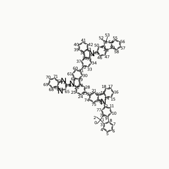 CC1(C)c2ccccc2-c2ccc(-n3c4ccccc4c4cc(-c5ccc6c(c5)c5cc(-c7ccc8c(c7)c7ccccc7n8-c7ccc8c(c7)C(C)(C)c7ccccc7-8)ccc5n6-c5cnc6ccccc6n5)ccc43)cc21